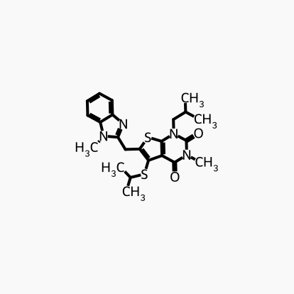 CC(C)Cn1c(=O)n(C)c(=O)c2c(SC(C)C)c(Cc3nc4ccccc4n3C)sc21